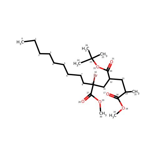 CCCCCCCCCC(Br)(CC(CC(C)C(=O)OC)C(=O)OC(C)(C)C)C(=O)OC